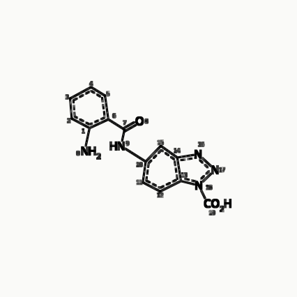 Nc1ccccc1C(=O)Nc1ccc2c(c1)nnn2C(=O)O